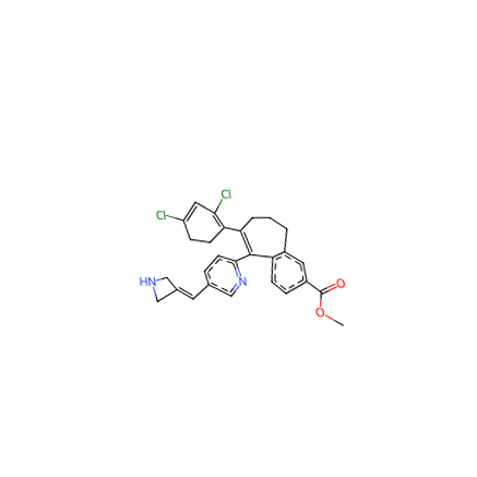 COC(=O)c1ccc2c(c1)CCCC(C1=C(Cl)C=C(Cl)CC1)=C2c1ccc(C=C2CNC2)cn1